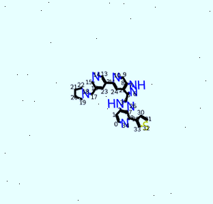 c1cc2[nH]c(-c3n[nH]c4cnc(-c5cncc(CN6CCCC6)c5)cc34)nc2c(-c2ccsc2)n1